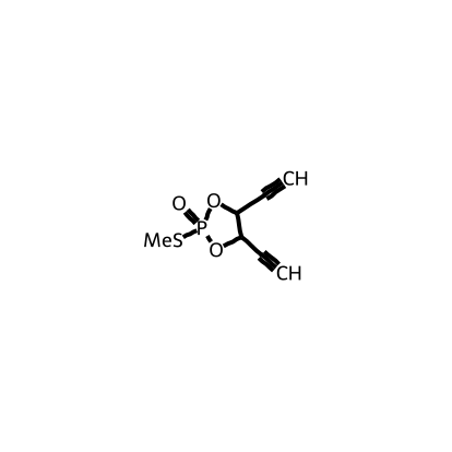 C#CC1OP(=O)(SC)OC1C#C